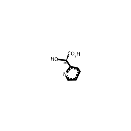 O=C(O)[C@H](O)c1ccccn1